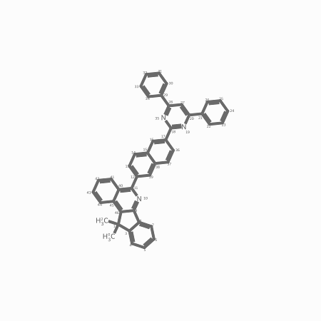 CC1(C)c2ccccc2-c2nc(-c3ccc4cc(-c5nc(-c6ccccc6)cc(-c6ccccc6)n5)ccc4c3)c3ccccc3c21